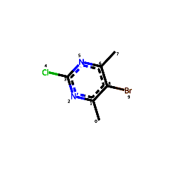 Cc1nc(Cl)nc(C)c1Br